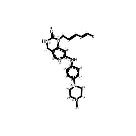 C/C=C/C=C/CN1C(=O)NCc2cnc(Nc3ccc(N4CCN(C)CC4)cc3)cc21